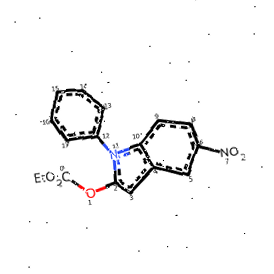 CCOC(=O)Oc1cc2cc([N+](=O)[O-])ccc2n1-c1ccccc1